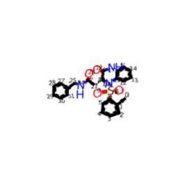 Cc1ccccc1S(=O)(=O)N1c2ccccc2NC(=O)[C@H]1CC(=O)NCc1ccccc1